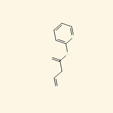 Br.O=CCC(=O)Nc1ccccn1